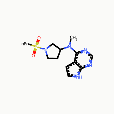 CCCS(=O)(=O)N1CCC(N(C)c2ncnc3[nH]ccc23)C1